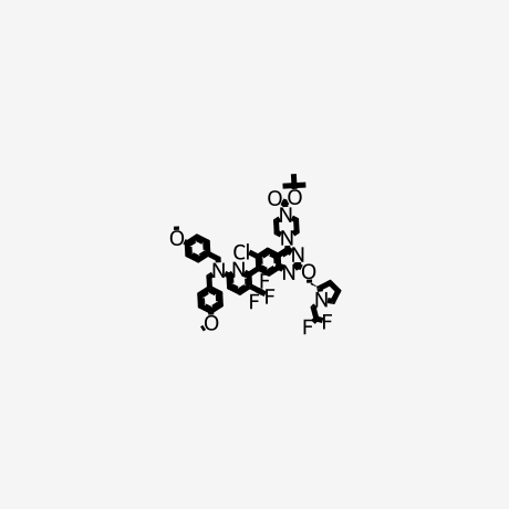 COc1ccc(CN(Cc2ccc(OC)cc2)c2ccc(C(F)(F)F)c(-c3cc4nc(OC[C@@H]5CCCN5CC(F)F)nc(N5CCN(C(=O)OC(C)(C)C)CC5)c4cc3Cl)n2)cc1